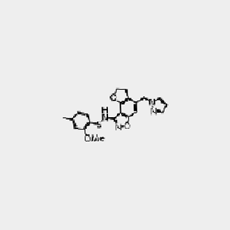 COc1cc(C)ccc1SNc1noc2cc(Cn3cccn3)c3c(c12)OCC3